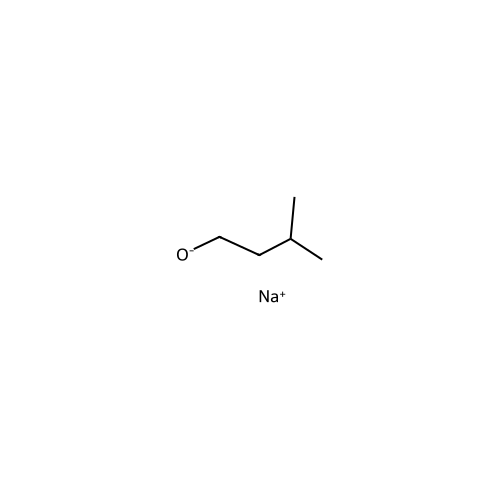 CC(C)CC[O-].[Na+]